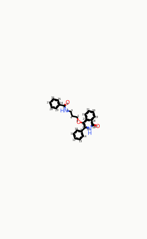 O=C(NCCCOc1c(-c2ccccc2)[nH]c(=O)c2ccccc12)c1ccccc1